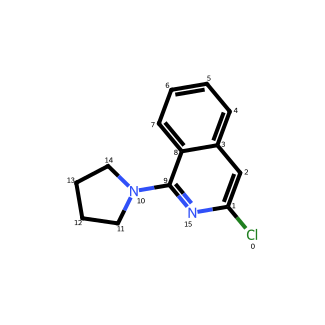 Clc1cc2ccccc2c(N2CCCC2)n1